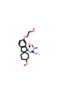 COCCOc1ccc2c(c1)[C@@](C=O)(/N=C(/N)N(C)C)C1(CCC(OC)CC1)C2